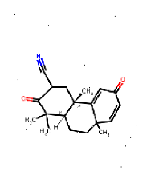 CC12C=CC(=O)C=C1[C@@]1(C)CC(C#N)C(=O)C(C)(C)[C@@H]1CC2